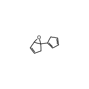 C1=CCC(C23CC=CC2O3)=C1